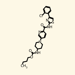 CCCCOC(=O)NC1CCN(c2ccc(C(=O)Nc3nc(-c4ccccc4Cl)cs3)nc2)CC1